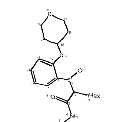 CCCCCCC(C(=O)NO)[S+]([O-])c1ccccc1OC1CCOCC1